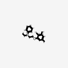 CCN(CCOc1cc(C)cc(C)c1C)c1ccccc1